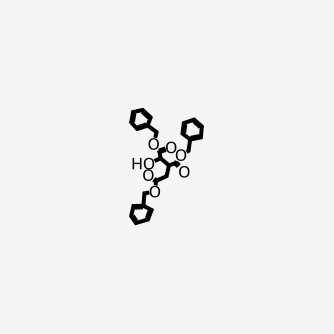 O=C(CC(C(=O)OCc1ccccc1)C(O)C(=O)OCc1ccccc1)OCc1ccccc1